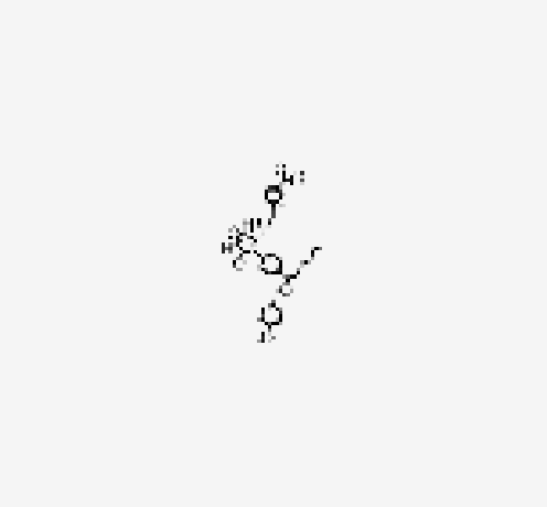 CCCCCC(OCc1ccc(OC)cc1)c1ccc(N2C(=O)[C@H]3O[C@H]3[C@@H]2COCc2ccc(C(=O)OC)s2)cc1